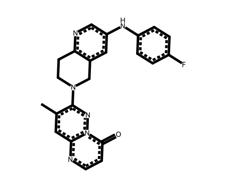 Cc1cc2nccc(=O)n2nc1N1CCc2ncc(Nc3ccc(F)cc3)cc2C1